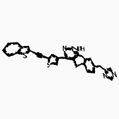 C(#Cc1cc2ccccc2s1)c1cc(-c2n[nH]c3c2Cc2ccc(Cn4cncn4)cc2-3)cs1